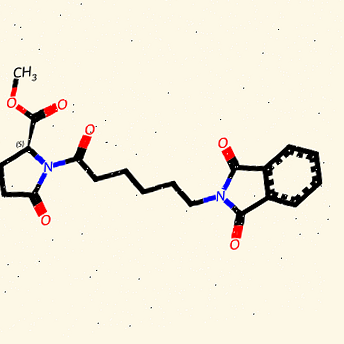 COC(=O)[C@@H]1CCC(=O)N1C(=O)CCCCCN1C(=O)c2ccccc2C1=O